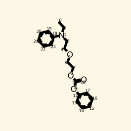 CCN(CCOCCOC(=O)Oc1ccccc1)c1ccccc1